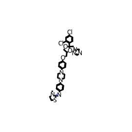 CN1CCS/C1=N/c1ccc(N2CCN(c3ccc(OCC4COC(Cn5cncn5)(c5ccc(Cl)cc5Cl)O4)cc3)CC2)cc1